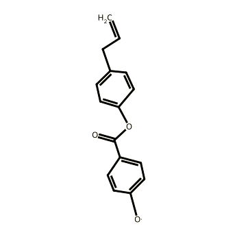 C=CCc1ccc(OC(=O)c2ccc([O])cc2)cc1